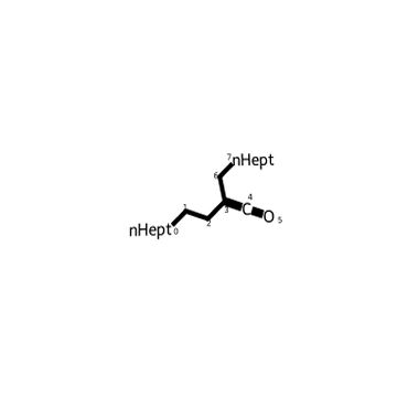 CCCCCCCCCC(=C=O)CCCCCCCC